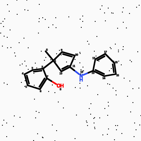 CC1(c2ccccc2O)C=CC(Nc2ccccc2)=C1